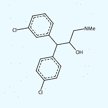 CNCC(O)C(c1ccc(Cl)cc1)c1cccc(Cl)c1